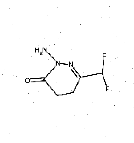 NN1N=C(C(F)F)CCC1=O